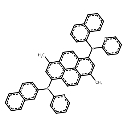 Cc1cc(N(c2ccc3ccccc3c2)c2ccccn2)c2ccc3c(C)cc(N(c4ccccn4)c4cccc5ccccc45)c4ccc1c2c34